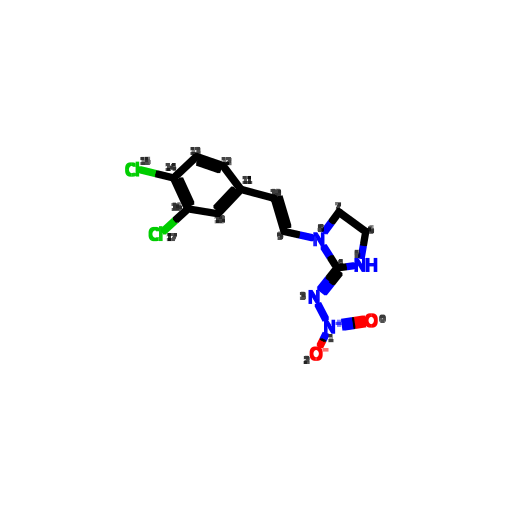 O=[N+]([O-])/N=C1\NCCN1/C=C/c1ccc(Cl)c(Cl)c1